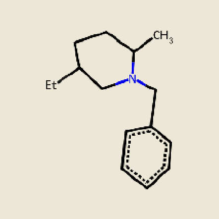 CCC1CCC(C)N(Cc2ccccc2)C1